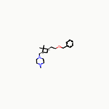 CN1CCN(C[C@@H]2C[C@H](CCOCc3ccccc3)C2(C)C)CC1